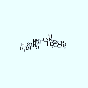 COC(CNC(=O)c1cc(-c2ccc(NC(=O)OC(C)(C)C)cc2)c[nH]1)OC